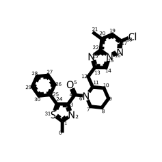 Cc1nc(C(=O)N2CCCCC2Cc2cn3nc(Cl)cc(C)c3n2)c(-c2ccccc2)s1